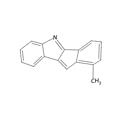 Cc1cccc2c1C=C1C2=Nc2ccccc21